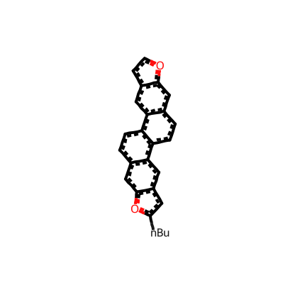 CCCCc1cc2cc3c(ccc4c5cc6ccoc6cc5ccc34)cc2o1